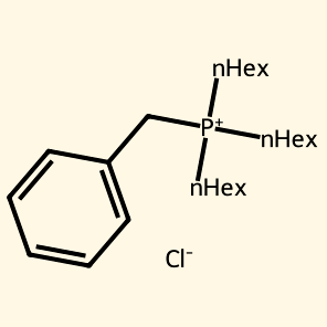 CCCCCC[P+](CCCCCC)(CCCCCC)Cc1ccccc1.[Cl-]